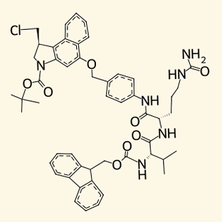 CC(C)[C@H](NC(=O)OCC1c2ccccc2-c2ccccc21)C(=O)N[C@@H](CCCNC(N)=O)C(=O)Nc1ccc(COc2cc3c(c4ccccc24)[C@H](CCl)CN3C(=O)OC(C)(C)C)cc1